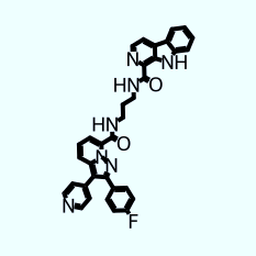 O=C(NCCCNC(=O)c1cccc2c(-c3ccncc3)c(-c3ccc(F)cc3)nn12)c1nccc2c1[nH]c1ccccc12